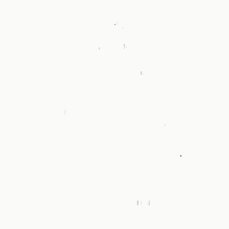 Cc1c(Cl)cccc1C1C=C(NCCCNc2ccc(C(N)=O)cn2)N=C(N)N1